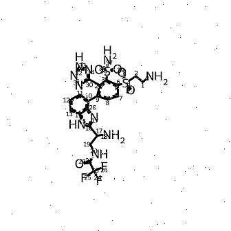 NCCS(=O)(=O)c1ccc(-c2cccc3[nH]c(C(N)CNC(=O)C(F)(F)F)nc23)c(-c2nn[nH]n2)c1S(N)(=O)=O